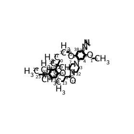 CCOc1cc(N2CCN(C(=O)C(CC)Oc3ccc(C(C)(C)CC)cc3C(C)(C)CC)CC2)c(OCC)cc1[N+]#N